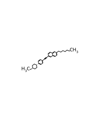 CCCCCCCc1ccc2cc(C#Cc3ccc([C@H]4CC[C@H](CC)CC4)cc3)ccc2c1